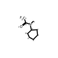 CN(C(=O)C(F)(F)F)C1CC[CH]CC1